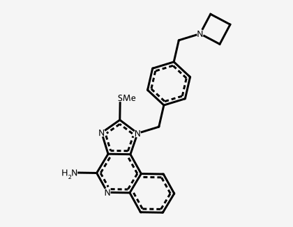 CSc1nc2c(N)nc3ccccc3c2n1Cc1ccc(CN2CCC2)cc1